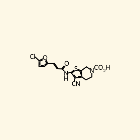 N#Cc1c(NC(=O)C=Cc2ccc(Cl)o2)sc2c1CCN(C(=O)O)C2